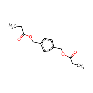 CCC(=O)OCc1ccc(COC(=O)CC)cc1